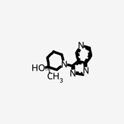 C[C@]1(O)CCCN(c2ncnc3ccncc23)C1